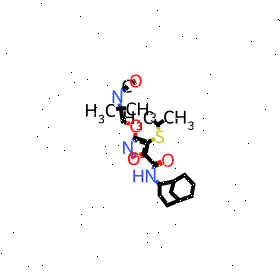 CC(C)Sc1c(OCC(C)(C)N=C=O)noc1C(=O)NC1CCC2CCCC1C2